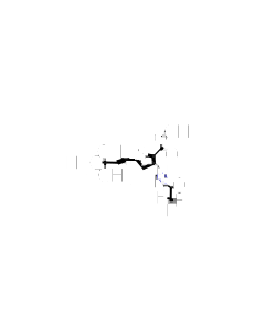 COC(=O)c1sc(C#CC(C)(C)C)cc1/N=N/C(=O)C(F)(F)F